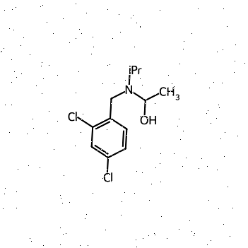 CC(C)N(Cc1ccc(Cl)cc1Cl)C(C)O